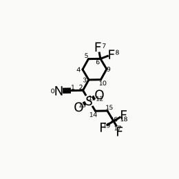 N#CC(C1CCC(F)(F)CC1)S(=O)(=O)CCC(F)(F)F